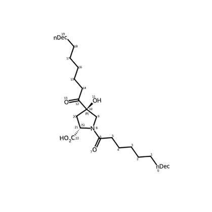 CCCCCCCCCCCCCCCC(=O)N1C[C@@](O)(C(=O)CCCCCCCCCCCCCCC)C[C@H]1C(=O)O